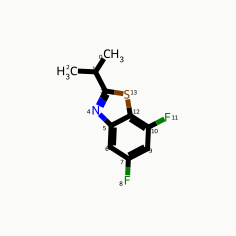 CC(C)c1nc2cc(F)cc(F)c2s1